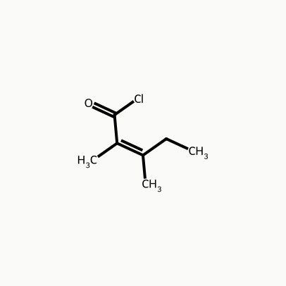 CC/C(C)=C(/C)C(=O)Cl